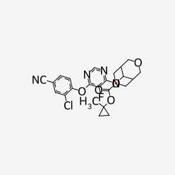 CC1(OC(=O)N2CC3COCC(C2)C3Oc2ncnc(Oc3ccc(C#N)cc3Cl)c2F)CC1